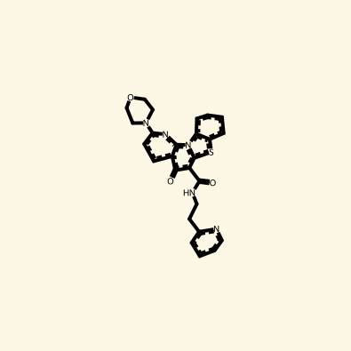 O=C(NCCc1ccccn1)c1c(=O)c2ccc(N3CCOCC3)nc2n2c1sc1ccccc12